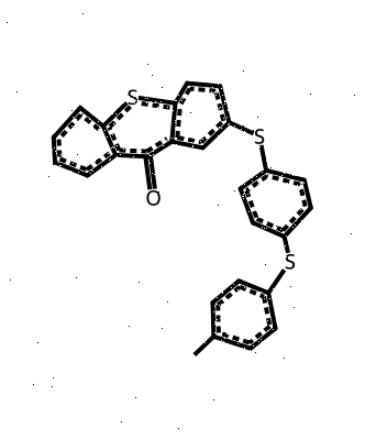 Cc1ccc(Sc2ccc(Sc3ccc4sc5ccccc5c(=O)c4c3)cc2)cc1